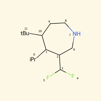 CC(C)C1C(C(F)F)CNCCC1C(C)(C)C